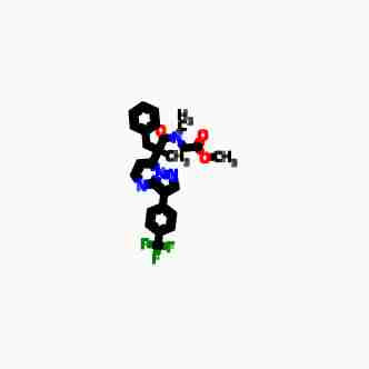 COC(=O)CN(C)C(=O)[C@@](C)(Cc1ccccc1)c1ccnc2c(-c3ccc(C(F)(F)F)cc3)cnn12